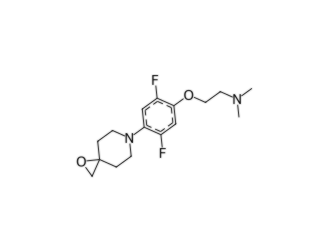 CN(C)CCOc1cc(F)c(N2CCC3(CC2)CO3)cc1F